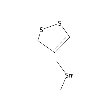 C1=CSSC1.[CH3][Sn][CH3]